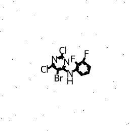 Fc1cccc(Nc2nc(Cl)nc(Cl)c2Br)c1F